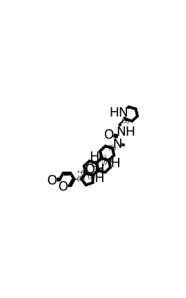 CN(C(=O)NC[C@@H]1CCCCN1)[C@H]1CC[C@@]2(C)[C@H](CC[C@@H]3[C@@H]2CC[C@]2(C)[C@@H](c4ccc(=O)oc4)CC[C@]32O)C1